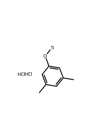 Cc1cc(C)cc([O][Ti])c1.Cl.Cl